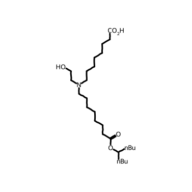 CCCCC(CCCC)OC(=O)CCCCCCCN(CCO)CCCCCCCC(=O)O